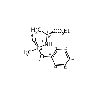 CCOC(=O)[C@H](C)NP(C)(=O)Oc1ccccc1